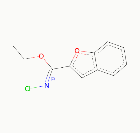 CCO/C(=N\Cl)c1cc2ccccc2o1